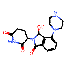 O=C1CCC(N2C(=O)c3cccc(N4CCNCC4)c3C2O)C(=O)N1